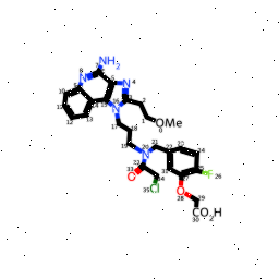 COCCc1nc2c(N)nc3ccccc3c2n1CCCN(Cc1ccc(F)c(OCC(=O)O)c1)C(=O)CCl